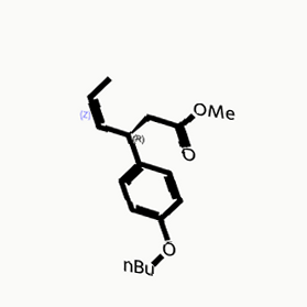 C/C=C\[C@@H](CC(=O)OC)c1ccc(OCCCC)cc1